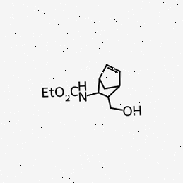 CCOC(=O)NC1C2C=CC(C2)C1CO